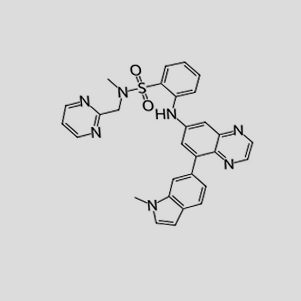 CN(Cc1ncccn1)S(=O)(=O)c1ccccc1Nc1cc(-c2ccc3ccn(C)c3c2)c2nccnc2c1